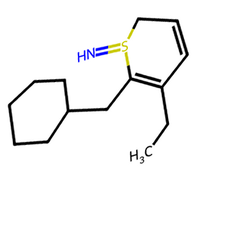 CCC1=C(CC2CCCCC2)S(=N)CC=C1